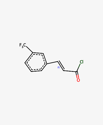 O=C(Cl)/C=C/c1cccc(C(F)(F)F)c1